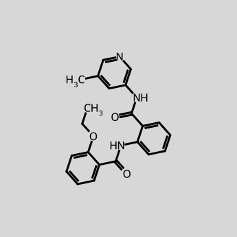 CCOc1ccccc1C(=O)Nc1ccccc1C(=O)Nc1cncc(C)c1